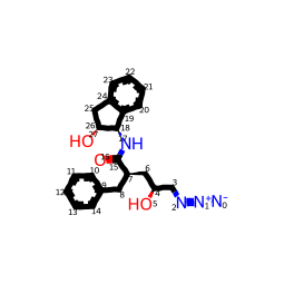 [N-]=[N+]=NC[C@@H](O)C[C@@H](Cc1ccccc1)C(=O)N[C@H]1c2ccccc2C[C@H]1O